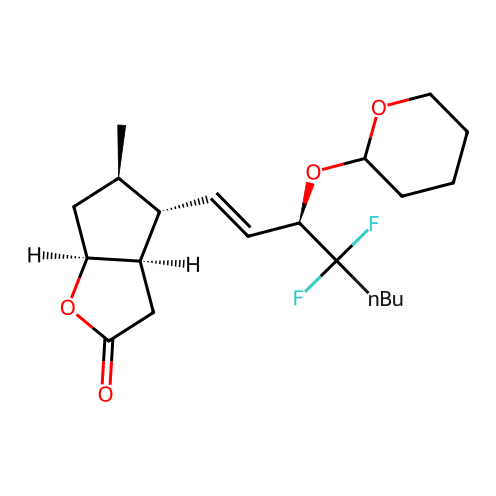 CCCCC(F)(F)[C@@H](C=C[C@@H]1[C@H]2CC(=O)O[C@H]2C[C@H]1C)OC1CCCCO1